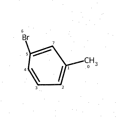 Cc1cc[c]c(Br)c1